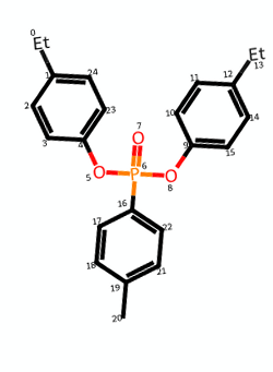 CCc1ccc(OP(=O)(Oc2ccc(CC)cc2)c2ccc(C)cc2)cc1